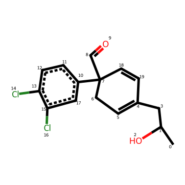 CC(O)CC1=CCC(C=O)(c2ccc(Cl)c(Cl)c2)C=C1